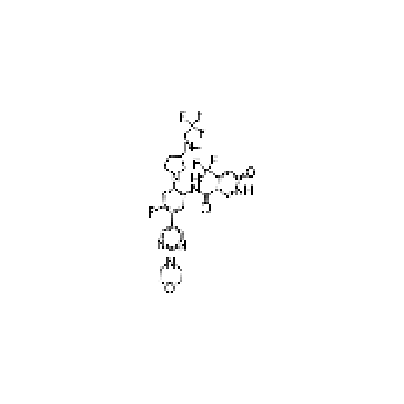 CN(CC(F)(F)F)C1CCN(c2cc(F)c(-c3cnc(N4CCOCC4)nc3)cc2NC(=O)c2c[nH]c(=O)cc2C(F)(F)F)C1